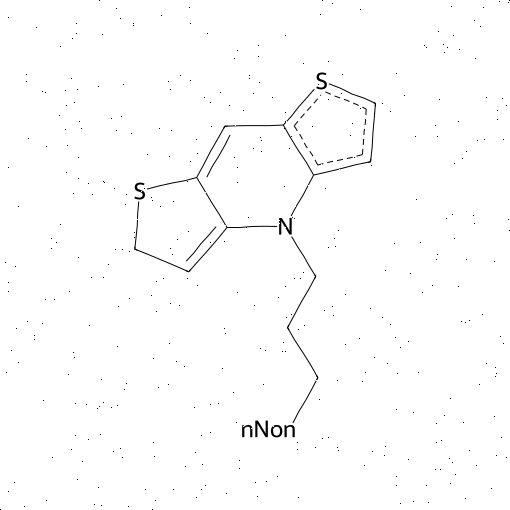 CCCCCCCCCCCCN1C2=CCSC2=Cc2sccc21